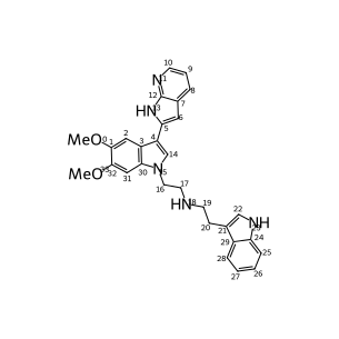 COc1cc2c(-c3cc4cccnc4[nH]3)cn(CCNCCc3c[nH]c4ccccc34)c2cc1OC